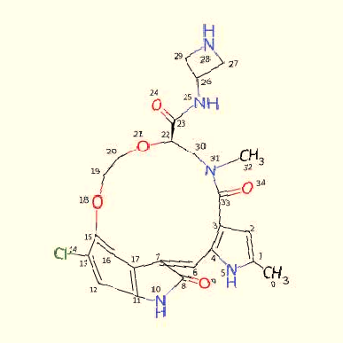 Cc1cc2c([nH]1)/C=C1\C(=O)Nc3cc(Cl)c(cc31)OCCO[C@@H](C(=O)NC1CNC1)CN(C)C2=O